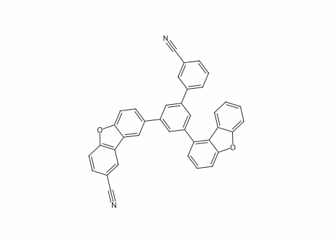 N#Cc1cccc(-c2cc(-c3ccc4oc5ccc(C#N)cc5c4c3)cc(-c3cccc4oc5ccccc5c34)c2)c1